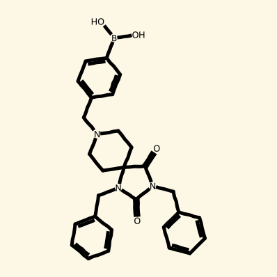 O=C1N(Cc2ccccc2)C(=O)C2(CCN(Cc3ccc(B(O)O)cc3)CC2)N1Cc1ccccc1